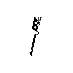 CCCCCCCCCCOc1ccc(C=C(C)[N+](=O)[O-])cc1